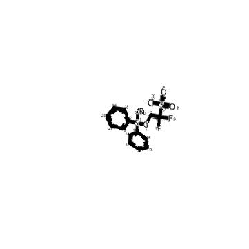 CC(C)(C)[Si](OCC(F)(F)S(=O)(=O)Cl)(c1ccccc1)c1ccccc1